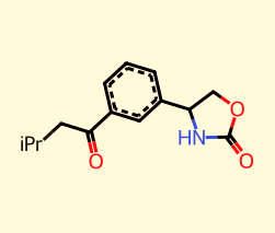 CC(C)CC(=O)c1cccc(C2COC(=O)N2)c1